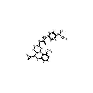 Cc1cccc(CN(C2CC2)C2CCN(CC(=O)Nc3ccc(C(C)C)cc3)CC2)c1